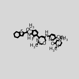 Cc1ccc(C2=N/N(C)COC/C(NC3=NCC(C)([C@H]4C(=O)N(C)CCN4C)C=C3)=C\2)c(F)c1NC(=O)c1cc2c(s1)CCCC2